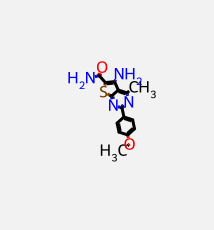 COc1ccc(-c2nc(C)c3c(N)c(C(N)=O)sc3n2)cc1